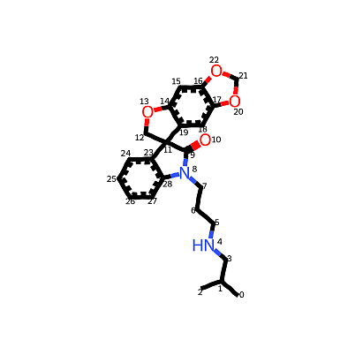 CC(C)CNCCCN1C(=O)C2(COc3cc4c(cc32)OCO4)c2ccccc21